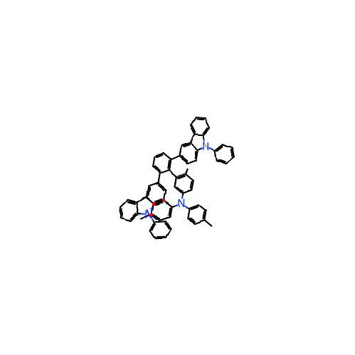 Cc1ccc(N(c2ccc(C)cc2)c2ccc(C)c(-c3c(-c4ccc5c(c4)c4ccccc4n5-c4ccccc4)cccc3-c3ccc4c(c3)c3ccccc3n4-c3ccccc3)c2)cc1